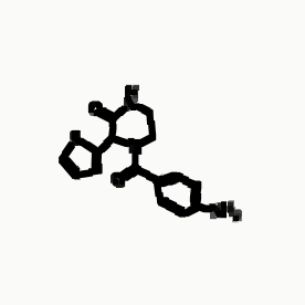 Nc1ccc(C(=O)N2CCNC(=O)C2c2cccs2)cc1